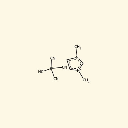 Cn1cc[n+](C)c1.N#C[B-](C#N)(C#N)C#N